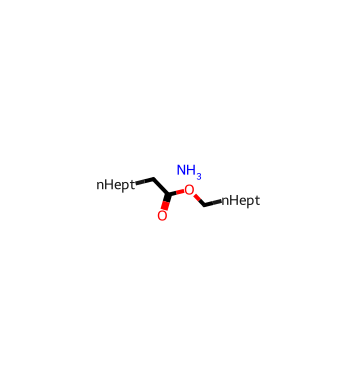 CCCCCCCCOC(=O)CCCCCCCC.N